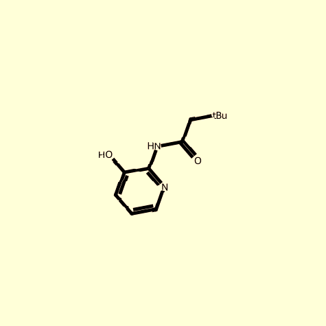 CC(C)(C)CC(=O)Nc1ncccc1O